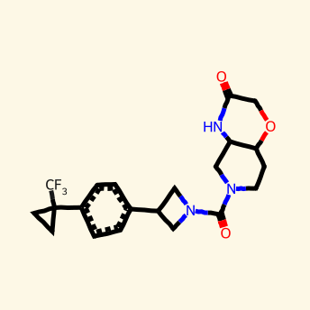 O=C1COC2CCN(C(=O)N3CC(c4ccc(C5(C(F)(F)F)CC5)cc4)C3)CC2N1